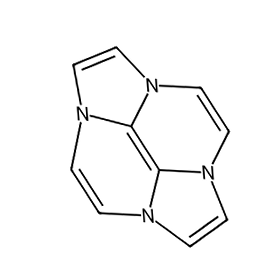 C1=Cn2ccn3c4n(ccn1c2=4)C=C3